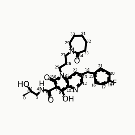 C[C@@H](O)CNC(=O)c1c(O)c2ncc(Cc3ccc(F)cc3)cc2n(CCCN2CCCCCC2=O)c1=O